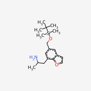 CC(N)Cc1cc(CO[Si](C)(C)C(C)(C)C)cc2ccoc12